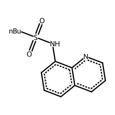 CCCCS(=O)(=O)Nc1cccc2cccnc12